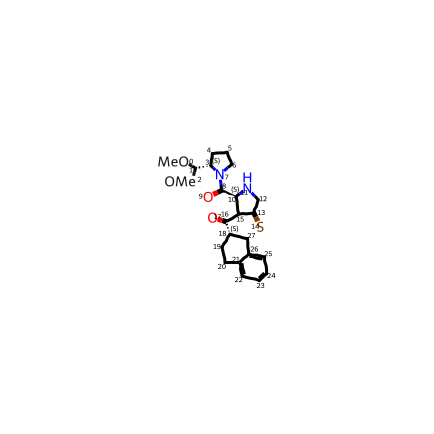 COC(OC)[C@@H]1CCCN1C(=O)[C@H]1NCC(=S)C1C(=O)[C@H]1CCc2ccccc2C1